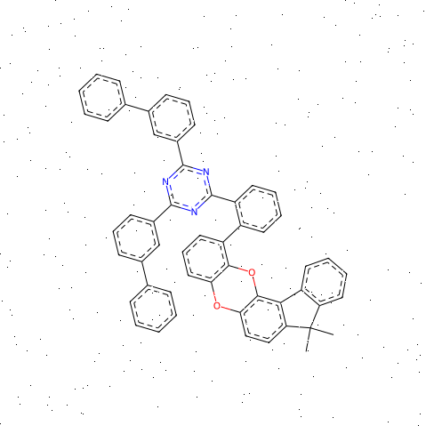 CC1(C)c2ccccc2-c2c1ccc1c2Oc2c(cccc2-c2ccccc2-c2nc(-c3cccc(-c4ccccc4)c3)nc(-c3cccc(-c4ccccc4)c3)n2)O1